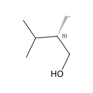 [CH2][C@H](CO)C(C)C